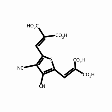 N#Cc1c(C=C(C(=O)O)C(=O)O)sc(C=C(C(=O)O)C(=O)O)c1C#N